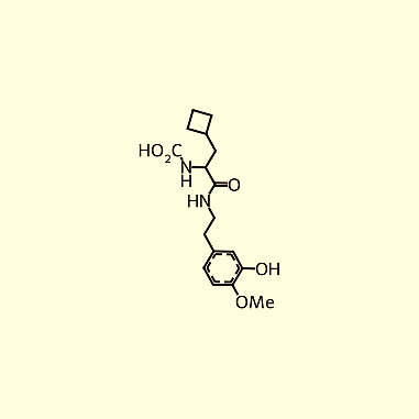 COc1ccc(CCNC(=O)C(CC2CCC2)NC(=O)O)cc1O